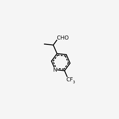 CC(C=O)c1ccc(C(F)(F)F)nc1